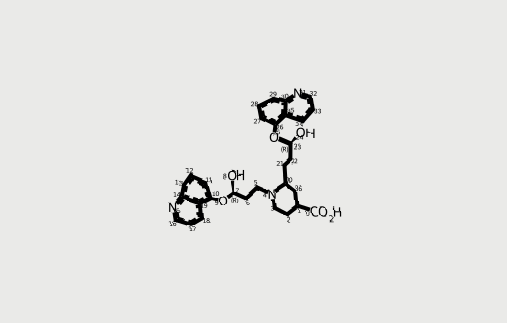 O=C(O)C1CCN(CC[C@H](O)Oc2cccc3ncccc23)C(CC[C@H](O)Oc2cccc3ncccc23)C1